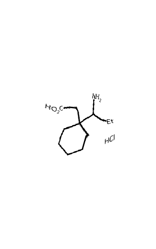 CCC(N)C1(CC(=O)O)CCCCC1.Cl